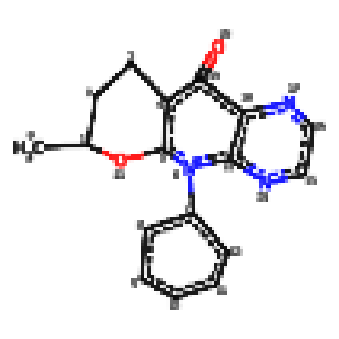 CC1CCc2c(n(-c3ccccc3)c3nccnc3c2=O)O1